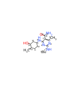 Cc1nc(NC(C)(C)C)nc(NC2CCC(C)C(O)C2)c1C(N)=O